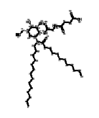 CCCCCCCCCCCCCCN(C(=O)CCCCCCCCCCC)[C@@H]1O[C@H](CO)[C@H](O)[C@H](O)[C@@H]1NC(=O)CNC(=O)CCC(=O)O